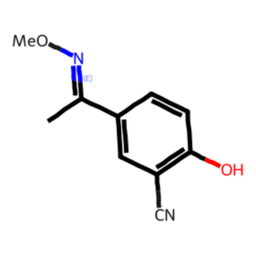 CO/N=C(\C)c1ccc(O)c(C#N)c1